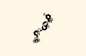 CS(=O)(=O)OCc1cccc(OC[C@@H]2CC[C@H]3CN(c4noc5ccc(F)cc45)CCN3C2)n1